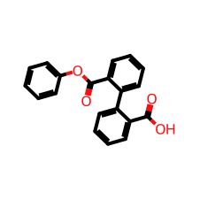 O=C(O)c1ccccc1-c1ccccc1C(=O)Oc1ccccc1